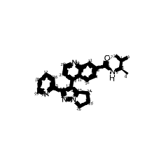 CC(C)[C@@H](C)NC(=O)c1ccc2c(-c3c(-c4ccccn4)nn4c3CCC4)ccnc2c1